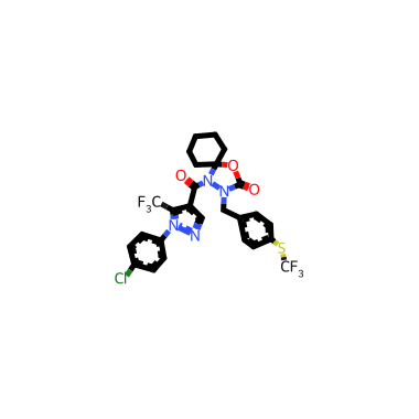 O=C1OC2(CCCCC2)N(C(=O)c2cnn(-c3ccc(Cl)cc3)c2C(F)(F)F)N1Cc1ccc(SC(F)(F)F)cc1